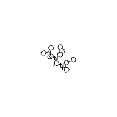 CC1=CC(N(C2C=C3C(CC2)SC2CCC=CC32)C2COC(N(C3CC=CCC3)C3CCCCC3)C2)CC(N2C3=CC=C(C4CCCCC4)CC3C3(CCCCC3)C2(C)C)C1